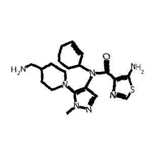 Cn1ncc(N(C(=O)c2ncsc2N)C2C=CCCC2)c1N1CCC(CN)CC1